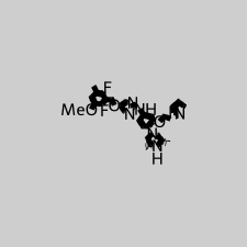 COc1cc(C)c(F)c(COc2cnc(Nc3ccc(N4C[C@@H](C)N[C@@H](C)C4)c(OCCn4cccn4)c3)nc2)c1F